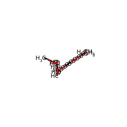 C#CCCC(=O)N[C@H](CCCCNC(=O)CC[C@@H](NC(=O)CCCCCCCCCCCCCCC)C(=O)O)C(=O)NCCOCCOCCOCCOCCOCCOCCOCCOCCOCCOCCOCCOCCC(=O)C(C)(C)C